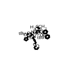 CC(C)(C)OC(=O)N(c1nc(C#CCOC2CCCCO2)nc2c1cnn2[C@@H]1O[C@H](CO[Si](c2ccccc2)(c2ccccc2)C(C)(C)C)[C@H]2OC(C)(C)O[C@H]21)C1CCCC1